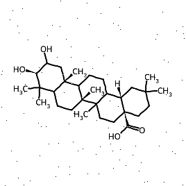 CC1(C)CC[C@]2(C(=O)O)CCC3(C)C(CCC4[C@@]5(C)CC(O)[C@H](O)C(C)(C)C5CC[C@]43C)[C@@H]2C1